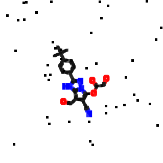 CC(C)(C)c1ccc(-c2nn3c(OC(=O)C=O)c(C#N)c(C=O)c3[nH]2)cc1